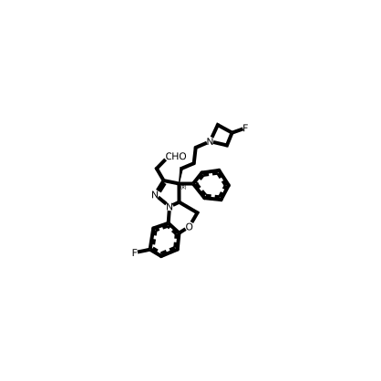 O=CCC1=NN2c3cc(F)ccc3OCC2[C@@]1(CCCN1CC(F)C1)c1ccccc1